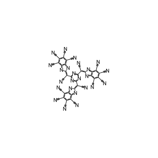 N#CC(=C1N=c2c(C#N)c(C#N)c(C#N)c(C#N)c2=N1)c1nc(C(C#N)=C2N=c3c(C#N)c(C#N)c(C#N)c(C#N)c3=N2)nc(C(C#N)=C2N=c3c(C#N)c(C#N)c(C#N)c(C#N)c3=N2)n1